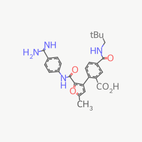 Cc1cc(-c2ccc(C(=O)NCC(C)(C)C)cc2C(=O)O)c(C(=O)Nc2ccc(C(=N)N)cc2)o1